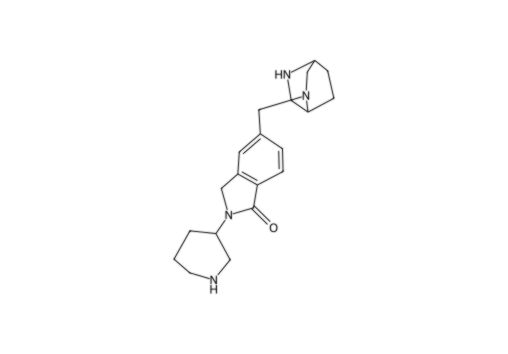 O=C1c2ccc(CN3CC4CCC3CN4)cc2CN1C1CCCNC1